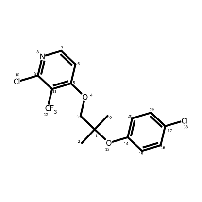 CC(C)(COc1ccnc(Cl)c1C(F)(F)F)Oc1ccc(Cl)cc1